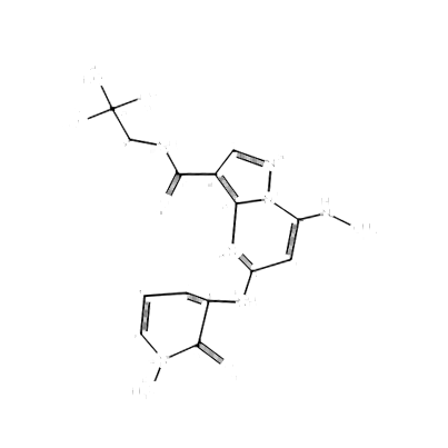 CNc1cc(Nc2cccn(C)c2=O)nc2c(C(=O)NCC(C)(C)O)cnn12